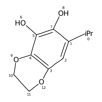 CC(C)c1cc2c(c(O)c1O)OCCO2